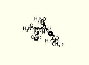 CC(C)C(C)C(=O)OCc1ccc(NC(=O)[C@H](CCCNC(N)=O)NC(=O)[C@H](CCCNC(N)=O)NC(=O)CCN2C(=O)C=CC2=O)cc1